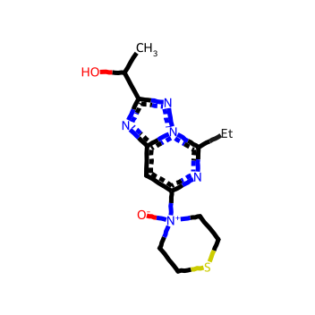 CCc1nc([N+]2([O-])CCSCC2)cc2nc(C(C)O)nn12